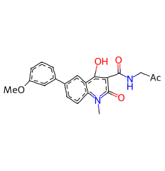 COc1cccc(-c2ccc3c(c2)c(O)c(C(=O)NCC(C)=O)c(=O)n3C)c1